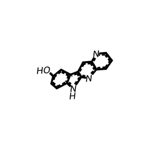 Oc1ccc2[nH]c3nc4cccnc4cc3c2c1